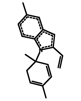 C=Cc1cc2cc(C)ccc2n1C1(C)C=CC(C)=CC1